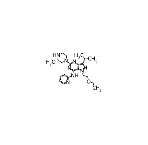 CCOCCn1nc(C(C)C)c2nc(N3CCN[C@@H](C)C3)nc(Nc3ccccn3)c21